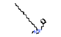 CCCCCCCCCCCCCCCCCc1n(CC)cc[n+]1CCCc1ccccc1